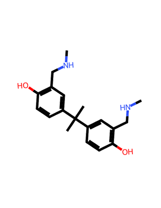 CNCc1cc(C(C)(C)c2ccc(O)c(CNC)c2)ccc1O